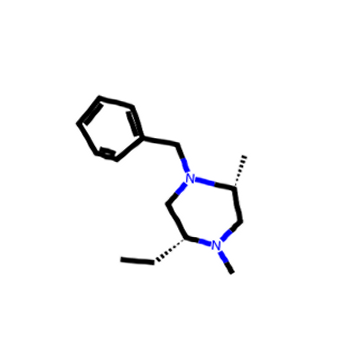 CC[C@@H]1CN(Cc2ccccc2)[C@H](C)CN1C